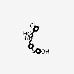 Oc1ccc(Sc2ccc(CCNC[C@@H](O)c3cccc(Cl)c3)cc2)cc1